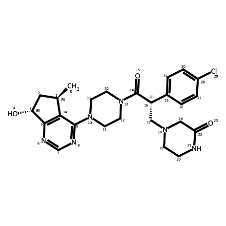 C[C@@H]1C[C@@H](O)c2ncnc(N3CCN(C(=O)[C@@H](CN4CCNC(=O)C4)c4ccc(Cl)cc4)CC3)c21